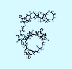 COc1cc2cc(c1Cl)N(C)C(=O)C[C@H](OC(=O)[C@H](C)N(C)C(=O)CCSCC1CC(=O)N(CC3CCC(C(=O)NC4CCC5CCCCCC(CC5)C4)CC3)C1=O)[C@]1(C)O[C@H]1[C@H](C)[C@@H]1C[C@@](O)(NC(=O)O1)[C@H](OC)/C=C/C=C(\C)C2